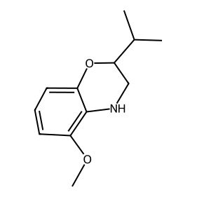 COc1cccc2c1NCC(C(C)C)O2